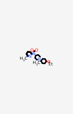 CCOC1CCC(C)(N2CCC(n3c(=O)oc4ccc(C)nc43)CC2)CC1